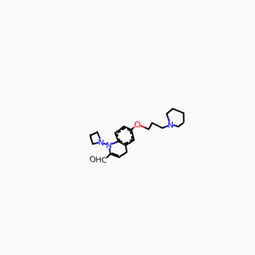 O=CC1=CCc2cc(OCCCN3CCCCC3)ccc2N1N1CCC1